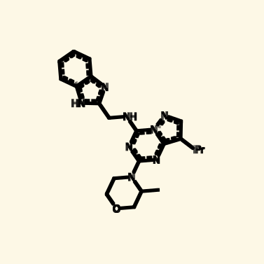 CC(C)c1cnn2c(NCc3nc4ccccc4[nH]3)nc(N3CCOCC3C)nc12